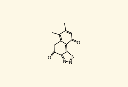 CC1=CC(=O)C2=C3N=NN=C3C(=O)CC2=C1C